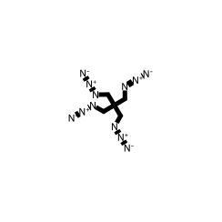 [N-]=[N+]=NCC(CN=[N+]=[N-])(CN=[N+]=[N-])CN=[N+]=[N-]